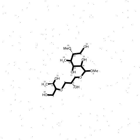 COC(OC[C@H](O)COC(CO)[C@@H](C)O)C(O)C(O)C(C)[C@@H](CO)OC